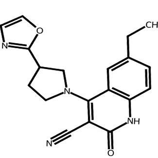 CCc1ccc2[nH]c(=O)c(C#N)c(N3CCC(c4ncco4)C3)c2c1